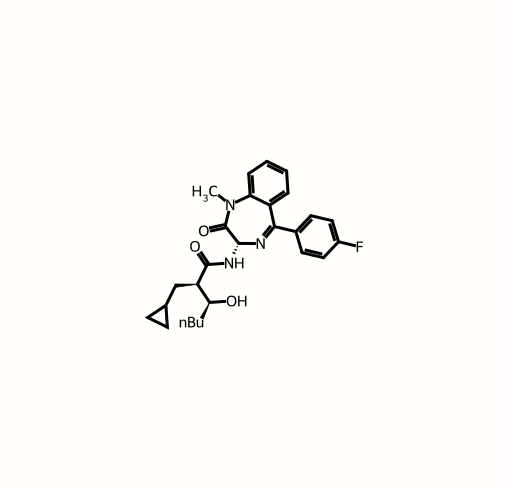 CCCC[C@H](O)[C@@H](CC1CC1)C(=O)N[C@H]1N=C(c2ccc(F)cc2)c2ccccc2N(C)C1=O